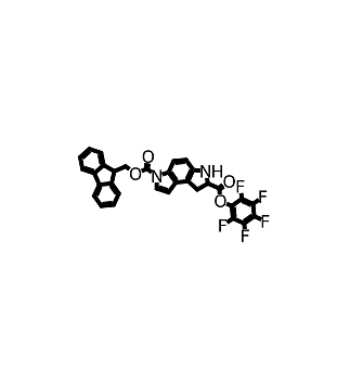 O=C(Oc1c(F)c(F)c(F)c(F)c1F)C1Cc2c(ccc3c2ccn3C(=O)OCC2c3ccccc3-c3ccccc32)N1